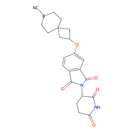 N#CB1CCC2(CC1)CC(Oc1ccc3c(c1)C(=O)N(C1CCC(=O)NC1=O)C3=O)C2